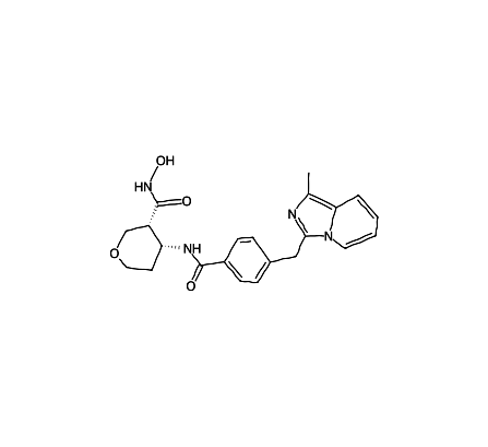 Cc1nc(Cc2ccc(C(=O)N[C@@H]3CCOC[C@@H]3C(=O)NO)cc2)n2ccccc12